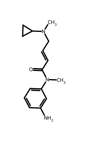 CN(C(=O)C=CCN(C)C1CC1)c1cccc(N)c1